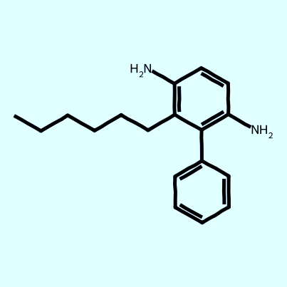 CCCCCCc1c(N)ccc(N)c1-c1ccccc1